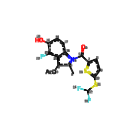 CC(=O)Oc1c(C)n(C(=O)c2ccc(SC(F)F)s2)c2ccc(O)c(F)c12